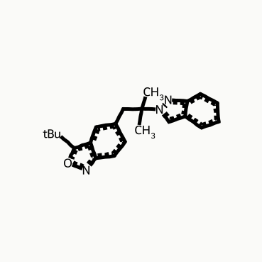 CC(C)(C)c1onc2ccc(CC(C)(C)n3cc4ccccc4n3)cc12